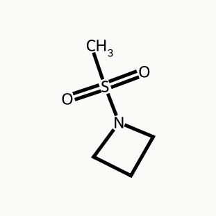 CS(=O)(=O)N1CCC1